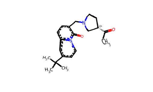 CC(=O)[C@H]1CCN(Cc2ccc3cc(C(C)(C)C)ccn3c2=O)C1